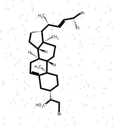 CC[C@H](/C=C/[C@@H](C)[C@H]1CC[C@H]2[C@@H]3CC=C4C[C@@H](C(CBr)C(=O)O)CC[C@]4(C)[C@H]3CC[C@]12C)C(C)C